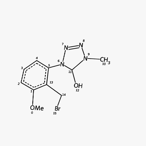 COc1cccc(N2N=NN(C)C2O)c1CBr